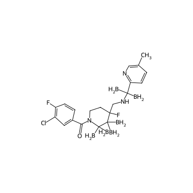 BC(B)(NCC1(F)CCN(C(=O)c2ccc(F)c(Cl)c2)C(B)(B)C1(B)B)c1ccc(C)cn1